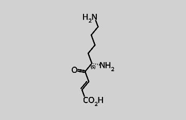 NCCCC[C@H](N)C(=O)C=CC(=O)O